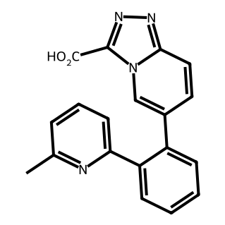 Cc1cccc(-c2ccccc2-c2ccc3nnc(C(=O)O)n3c2)n1